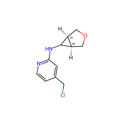 ClCc1ccnc(NC2[C@H]3COC[C@@H]23)c1